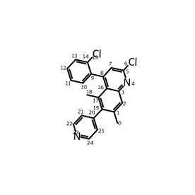 Cc1cc2nc(Cl)cc(-c3ccccc3Cl)c2c(C)c1-c1ccncc1